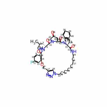 CC(C)C[C@H]1NC(=O)c2ccc(F)cc2OCc2cn(nn2)CCCCCCCCNC(=O)[C@H](Cc2ccccc2)N(C)C(=O)[C@H]2CC(=O)CN2C1=O